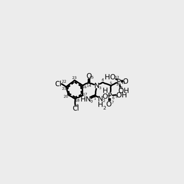 N=C(N)N(CC(P(=O)(O)O)P(=O)(O)O)C(=O)c1cc(Cl)cc(Cl)c1